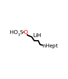 CCCCCCCCCCCCOS(=O)(=O)O.[LiH]